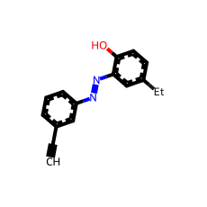 C#Cc1cccc(/N=N/c2cc(CC)ccc2O)c1